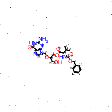 CC(C)[C@H](NC(=O)OCc1ccccc1)C(=O)OCC(CO)OCn1cnc2c(=O)[nH]c(N)nc21